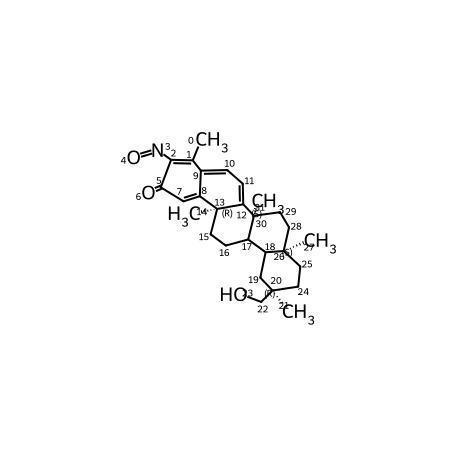 CC1=C(N=O)C(=O)C=C2C1=CC=C1[C@@]2(C)CCC2C3C[C@](C)(CO)CC[C@]3(C)CC[C@]12C